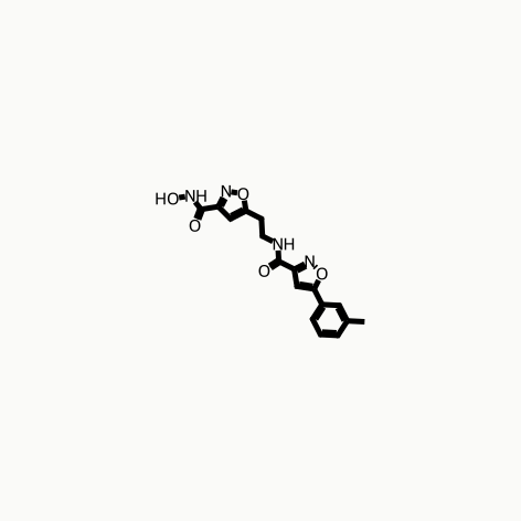 Cc1cccc(-c2cc(C(=O)NCCc3cc(C(=O)NO)no3)no2)c1